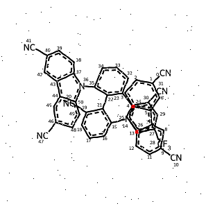 N#Cc1ccc2c(c1)c1cc(C#N)ccc1n2-c1cccc(C#N)c1-c1c(-c2ccc(C(F)(F)F)cc2C#N)cccc1-n1c2ccc(C#N)cc2c2cc(C#N)ccc21